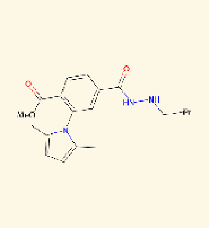 COC(=O)c1ccc(C(=O)NNCC(C)C)cc1-n1c(C)ccc1C